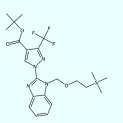 CC(C)(C)OC(=O)c1cn(-c2nc3ccccc3n2COCC[Si](C)(C)C)nc1C(F)(F)F